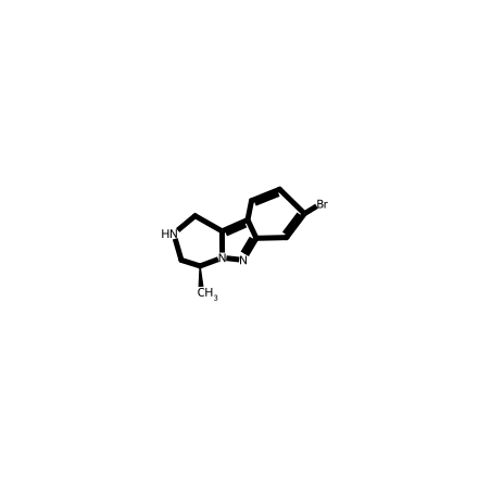 C[C@H]1CNCc2c3ccc(Br)cc3nn21